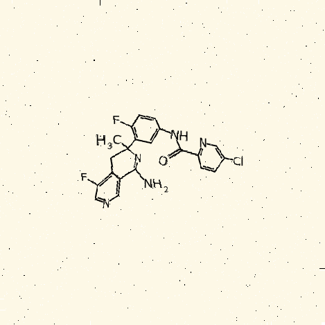 CC1(c2cc(NC(=O)c3ccc(Cl)cn3)ccc2F)Cc2c(F)cncc2C(N)=N1